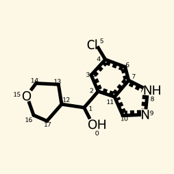 OC(c1cc(Cl)cc2[nH]ncc12)C1CCOCC1